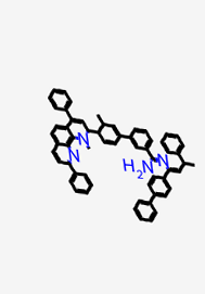 CC(/C=C(\N=C(/N)c1cccc(C2=CC(C)C(C3C=C(c4ccccc4)c4ccc5ccc(-c6ccccc6)nc5c4N3C)C=C2)c1)c1ccc(-c2ccccc2)cc1)c1ccccc1